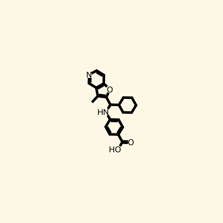 Cc1c(C(Nc2ccc(C(=O)O)cc2)C2CCCCC2)oc2ccncc12